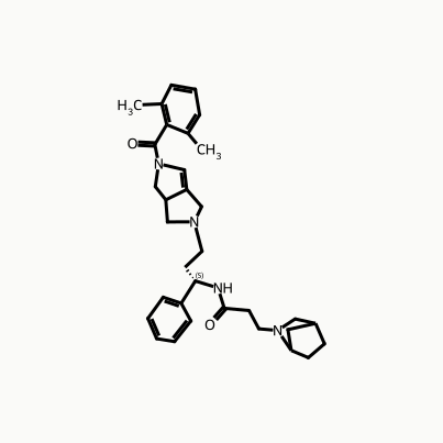 Cc1cccc(C)c1C(=O)N1C=C2CN(CC[C@H](NC(=O)CCN3CC4CCC3C4)c3ccccc3)CC2C1